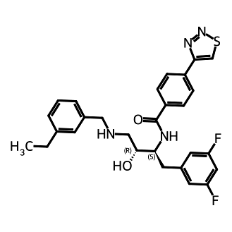 CCc1cccc(CNC[C@@H](O)[C@H](Cc2cc(F)cc(F)c2)NC(=O)c2ccc(-c3csnn3)cc2)c1